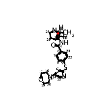 C[C@H]1[C@H](NC(=O)c2ccc(Sc3ncc(N4CCOCC4)s3)cc2)C2CCN1CC2